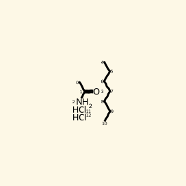 CC(N)=O.CCCCCCC.Cl.Cl